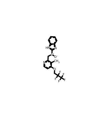 Cc1c(OCC(F)(F)C(F)(F)F)ccnc1C[S+]([O-])c1nc2ccccc2[nH]1